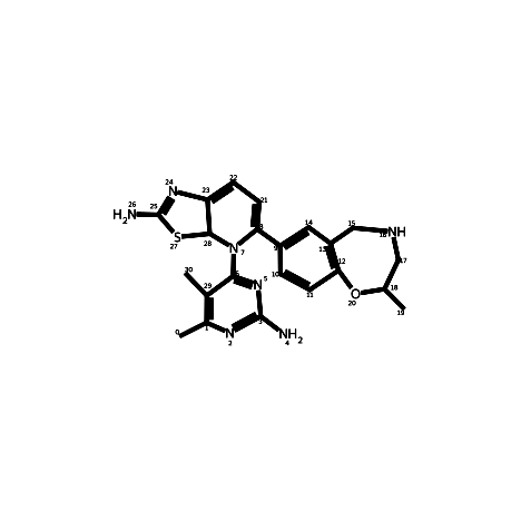 Cc1nc(N)nc(N2C(c3ccc4c(c3)CNCC(C)O4)=CC=C3N=C(N)SC32)c1C